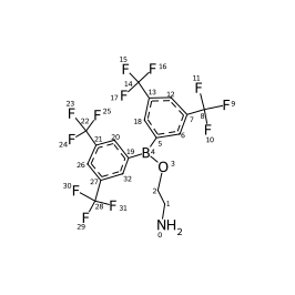 NCCOB(c1cc(C(F)(F)F)cc(C(F)(F)F)c1)c1cc(C(F)(F)F)cc(C(F)(F)F)c1